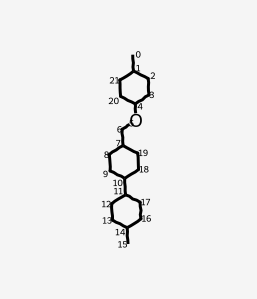 CC1CCC(OCC2CCC(C3CCC(C)CC3)CC2)CC1